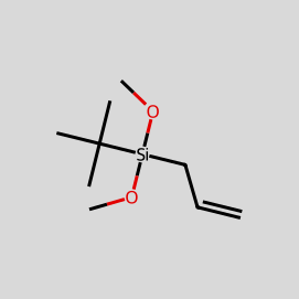 C=CC[Si](OC)(OC)C(C)(C)C